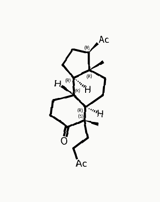 CC(=O)CC[C@]1(C)C(=O)CC[C@@H]2[C@H]3CC[C@@H](C(C)=O)[C@]3(C)CC[C@H]21